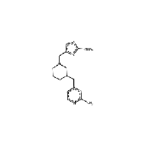 CC(=O)Nc1ncc(CN2CCCC(Cc3ccnc(C)n3)C2)s1